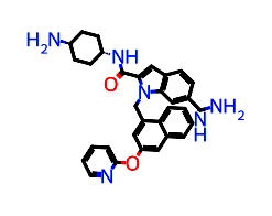 N=C(N)c1ccc2cc(C(=O)N[C@H]3CC[C@H](N)CC3)n(Cc3cc(Oc4ccccn4)cc4ccccc34)c2c1